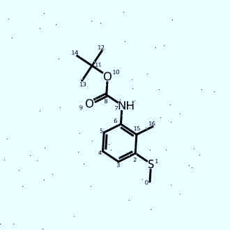 CSc1cccc(NC(=O)OC(C)(C)C)c1C